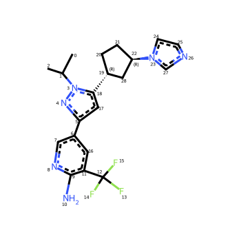 CC(C)n1nc(-c2cnc(N)c(C(F)(F)F)c2)cc1[C@@H]1CC[C@@H](n2ccnc2)C1